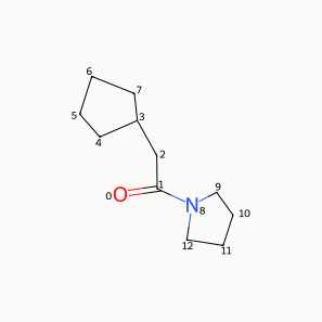 O=C(CC1CCCC1)N1CCCC1